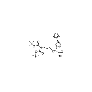 CC(C)(C)OC(=O)N(CCCC1CC1(C(=O)O)c1cn(-c2nccs2)cn1)C(=O)OC(C)(C)C